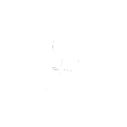 CCSP(=O)(SCCl)SC(C)(C)C